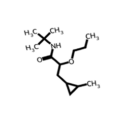 CCCOC(CC1CC1C)C(=O)NC(C)(C)C